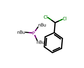 CCCCP(CCCC)CCCC.ClC(Cl)c1ccccc1